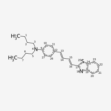 CCCCN(CCCC)c1ccc(/C=C/C=C/c2nc3ccccc3s2)cc1